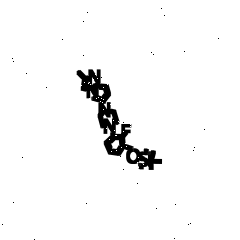 Cc1cn2cc(N3CCN(c4cccc(CO[Si](C)(C)C(C)(C)C)c4F)CC3)ccc2n1